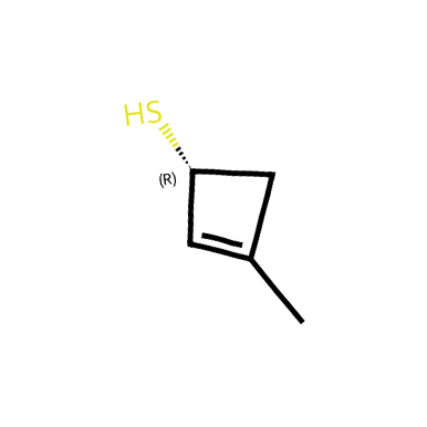 CC1=C[C@H](S)C1